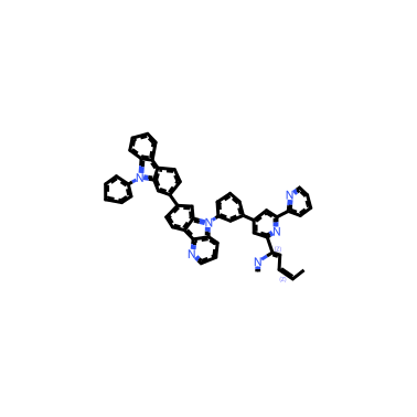 C=N/C(=C\C=C/C)c1cc(-c2cccc(-n3c4cc(-c5ccc6c7ccccc7n(-c7ccccc7)c6c5)ccc4c4ncccc43)c2)cc(-c2ccccn2)n1